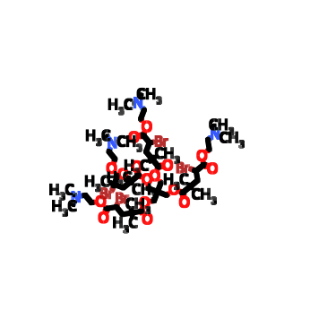 CN(C)CCOC(=O)C(Br)CC(C)(C)C(=O)OCC(COC(=O)C(C)(C)CC(Br)C(=O)OCCN(C)C)(COC(=O)C(C)(C)CC(Br)C(=O)OCCN(C)C)COC(=O)C(C)(C)CC(C)(Br)C(=O)OCCN(C)C